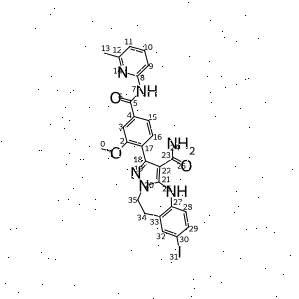 COc1cc(C(=O)Nc2cccc(C)n2)ccc1-c1nn2c(c1C(N)=O)Nc1ccc(I)cc1CC2